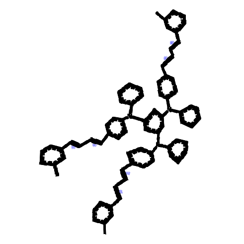 Cc1cccc(/C=C/C=C/c2ccc(N(c3ccccc3)c3cc(N(c4ccccc4)c4ccc(/C=C/C=C/c5cccc(C)c5)cc4)cc(N(c4ccccc4)c4ccc(/C=C/C=C/c5cccc(C)c5)cc4)c3)cc2)c1